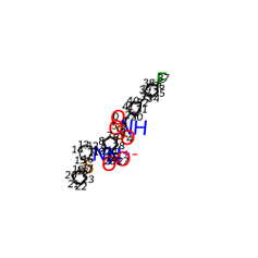 O=C(NS(=O)(=O)c1ccc(N[C@H]2CCCC[C@H]2Sc2ccccc2)c([N+](=O)[O-])c1)c1ccc(-c2ccc(F)cc2)cc1